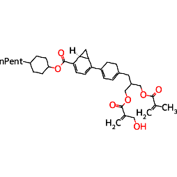 C=C(C)C(=O)OCC(COC(=O)C(=C)CO)CC1=CC=C(C2=CC=C(C(=O)OC3CCC(CCCCC)CC3)[C@H]3CC23)CC1